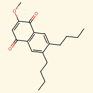 CCCCc1cc2c(cc1CCCC)C(=O)C(OC)=CC2=O